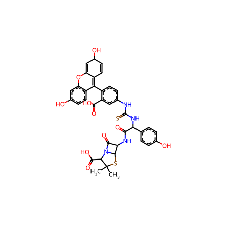 CC1(C)SC2C(NC(=O)C(NC(=S)Nc3ccc(C4=C5C=CC(O)C=C5Oc5cc(O)ccc54)c(C(=O)O)c3)c3ccc(O)cc3)C(=O)N2C1C(=O)O